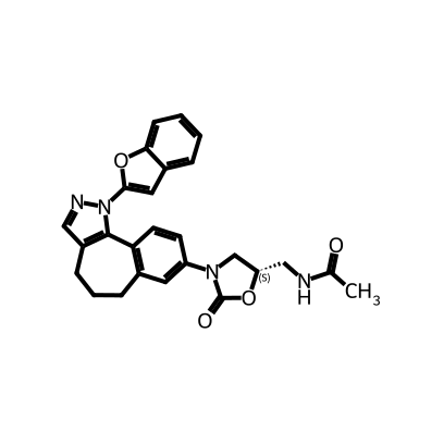 CC(=O)NC[C@H]1CN(c2ccc3c(c2)CCCc2cnn(-c4cc5ccccc5o4)c2-3)C(=O)O1